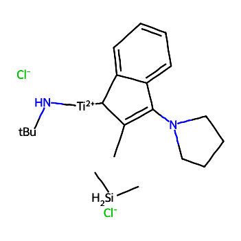 CC1=C(N2CCCC2)c2ccccc2[CH]1[Ti+2][NH]C(C)(C)C.C[SiH2]C.[Cl-].[Cl-]